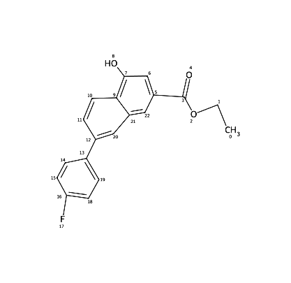 CCOC(=O)c1cc(O)c2ccc(-c3ccc(F)cc3)cc2c1